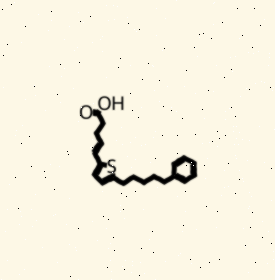 O=C(O)CCC=Cc1ccc(CCCCCc2ccccc2)s1